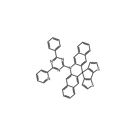 c1ccc(-c2nc(-c3ccccn3)nc(N3c4cc5ccccc5cc4C4(c5cc6ccccc6cc53)c3ccsc3-c3sccc34)n2)cc1